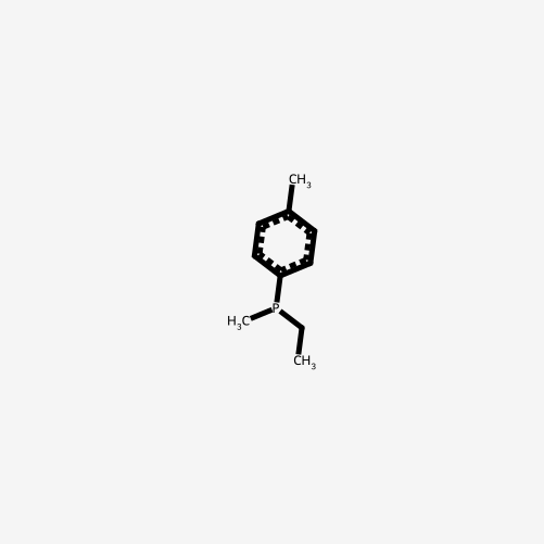 CCP(C)c1ccc(C)cc1